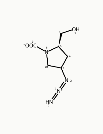 N=[N+]=NC1C[C@H](CO)N(C(=O)[O-])C1